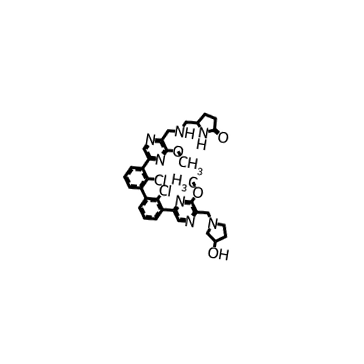 COc1nc(-c2cccc(-c3cccc(-c4cnc(CN5CCC(O)C5)c(OC)n4)c3Cl)c2Cl)cnc1CNCC1CCC(=O)N1